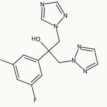 OC(Cn1cncn1)(Cn1nccn1)c1cc(F)cc(F)c1